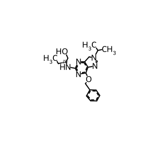 CC[C@@H](CO)Nc1nc2c(c(OCc3ccccc3)n1)N=CN(C(C)C)C2